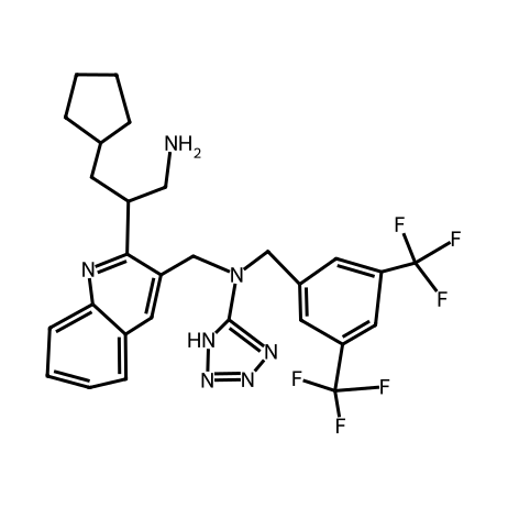 NCC(CC1CCCC1)c1nc2ccccc2cc1CN(Cc1cc(C(F)(F)F)cc(C(F)(F)F)c1)c1nnn[nH]1